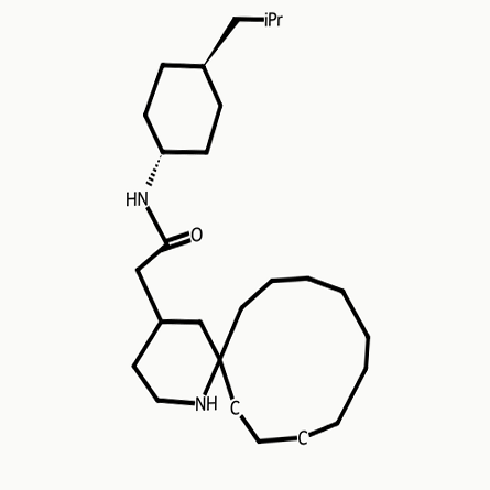 CC(C)C[C@H]1CC[C@H](NC(=O)CC2CCNC3(CCCCCCCCCC3)C2)CC1